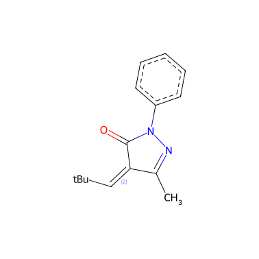 CC1=NN(c2ccccc2)C(=O)/C1=C\C(C)(C)C